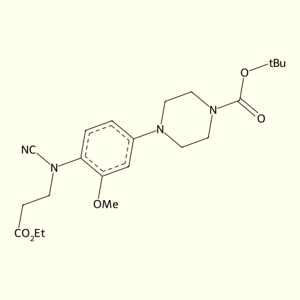 CCOC(=O)CCN(C#N)c1ccc(N2CCN(C(=O)OC(C)(C)C)CC2)cc1OC